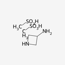 CS(=O)(=O)O.CS(=O)(=O)O.NC1CNC1